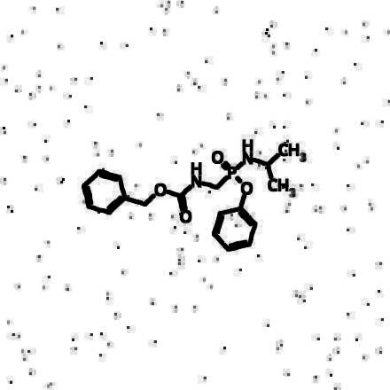 CC(C)NP(=O)(CNC(=O)OCc1ccccc1)Oc1ccccc1